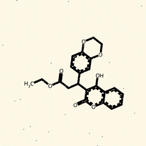 CCOC(=O)CC(c1ccc2c(c1)OCCO2)c1c(O)c2ccccc2oc1=O